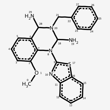 COc1cccc2c1N(c1nc3ccccc3s1)C(N)N(Cc1ccccc1)C2N